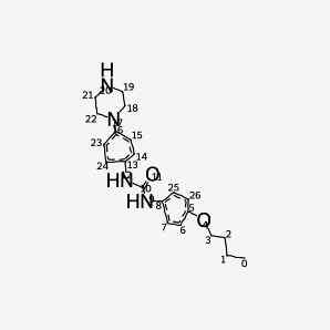 CCCCOc1ccc(NC(=O)Nc2ccc(N3CCNCC3)cc2)cc1